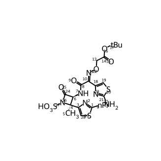 CCCc1nc([C@]2(C)[C@H](NC(=O)/C(=N/OCC(=O)OC(C)(C)C)c3csc(N)n3)C(=O)N2S(=O)(=O)O)cs1